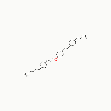 CCCCCC1CCC(C=CCOC2CCC(CCC3CCC(CCC)CC3)CC2)CC1